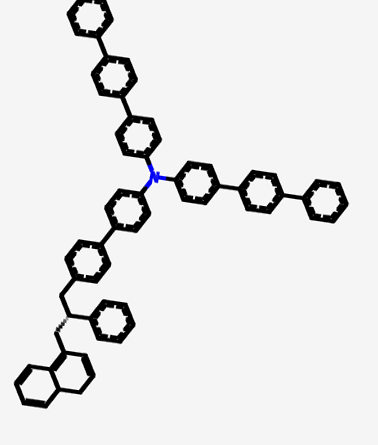 C1=CC2=C(C[C@H](Cc3ccc(-c4ccc(N(c5ccc(-c6ccc(-c7ccccc7)cc6)cc5)c5ccc(-c6ccc(-c7ccccc7)cc6)cc5)cc4)cc3)c3ccccc3)C=CCC2C=C1